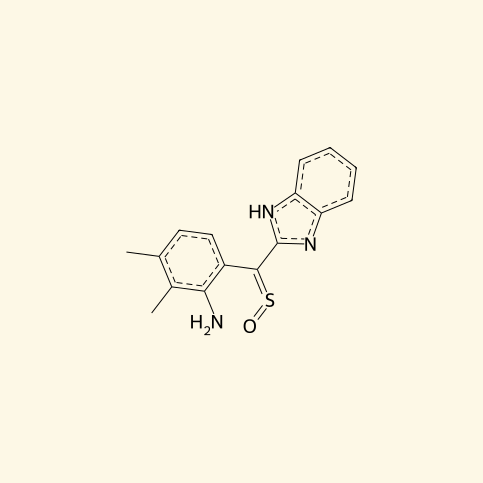 Cc1ccc(C(=S=O)c2nc3ccccc3[nH]2)c(N)c1C